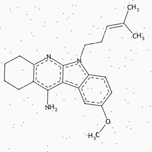 COc1ccc2c(c1)c1c(N)c3c(nc1n2CCC=C(C)C)CCCC3